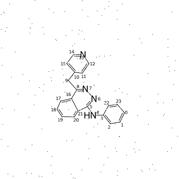 c1ccc(Nc2nnc(Cc3ccncc3)c3ccccc23)cc1